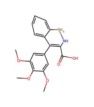 COc1cc(C2=C(C(=O)O)N[SH4]c3ccccc32)cc(OC)c1OC